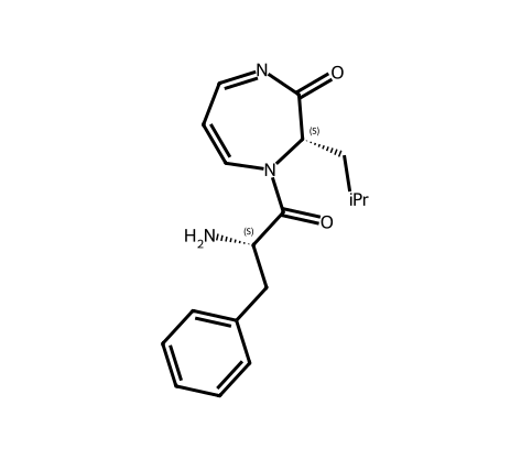 CC(C)C[C@H]1C(=O)N=CC=CN1C(=O)[C@@H](N)Cc1ccccc1